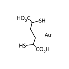 O=C(O)C(S)CCC(S)C(=O)O.[Au]